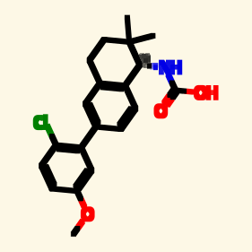 COc1ccc(Cl)c(-c2ccc3c(c2)CCC(C)(C)[C@@H]3NC(=O)O)c1